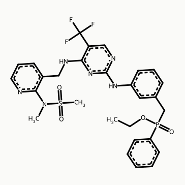 CCOP(=O)(Cc1cccc(Nc2ncc(C(F)(F)F)c(NCc3cccnc3N(C)S(C)(=O)=O)n2)c1)c1ccccc1